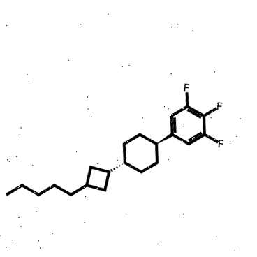 CCCCCC1CC([C@H]2CC[C@H](c3cc(F)c(F)c(F)c3)CC2)C1